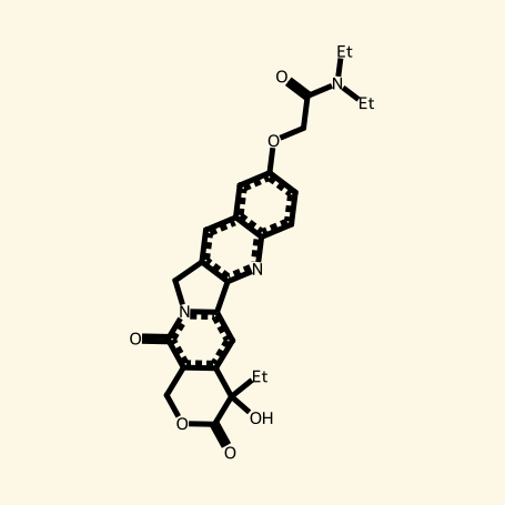 CCN(CC)C(=O)COc1ccc2nc3c(cc2c1)Cn1c-3cc2c(c1=O)COC(=O)C2(O)CC